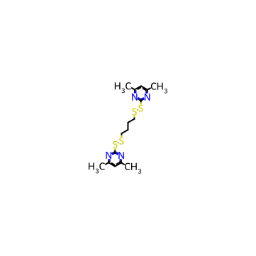 Cc1cc(C)nc(SSCCCCSSc2nc(C)cc(C)n2)n1